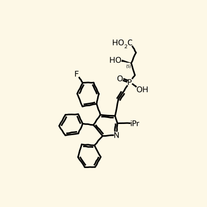 CC(C)c1nc(-c2ccccc2)c(-c2ccccc2)c(-c2ccc(F)cc2)c1C#CP(=O)(O)C[C@@H](O)CC(=O)O